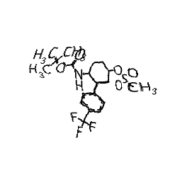 CC(C)(C)OC(=O)NC1CCC(OS(C)(=O)=O)CC1c1ccc(C(F)(F)F)cc1